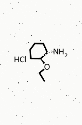 CCO[C@H]1CCCC[C@@H]1N.Cl